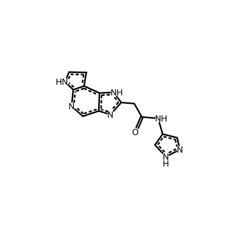 O=C(Cc1nc2cnc3[nH]ccc3c2[nH]1)Nc1cn[nH]c1